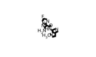 Cn1ccc2cncc(NC(=O)c3c(N)nn4cc(F)cnc34)c21